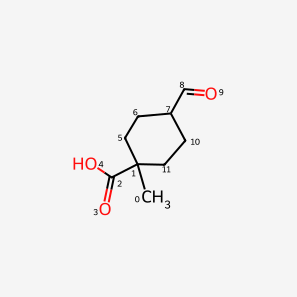 CC1(C(=O)O)CCC(C=O)CC1